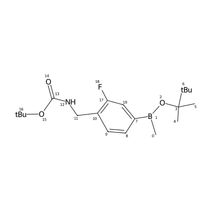 CB(OC(C)(C)C(C)(C)C)c1ccc(CNC(=O)OC(C)(C)C)c(F)c1